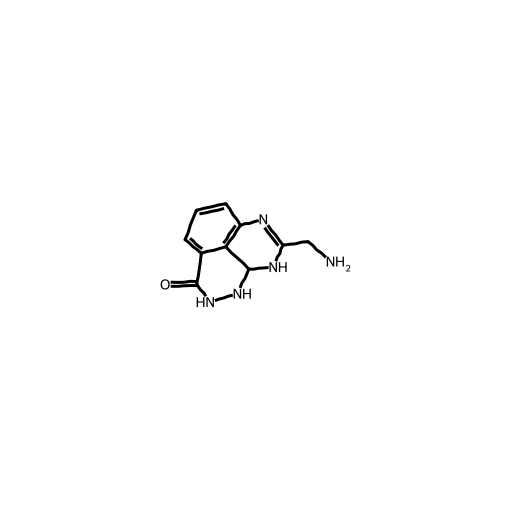 NCC1=Nc2cccc3c2C(NNC3=O)N1